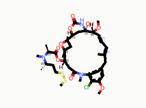 COc1cc2cc(c1Cl)N(C)C(=O)C[C@H](OC(=O)[C@H](C)N(C)[C@@H](C)CCSSC)[C@@]1(C)CC(C)(O1)[C@@H]1C[C@@](O)(NC(=O)O1)[C@H](OC)/C=C/C=C(\C)C2